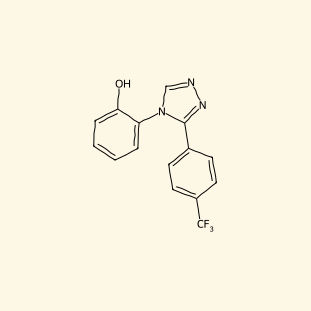 Oc1ccccc1-n1cnnc1-c1ccc(C(F)(F)F)cc1